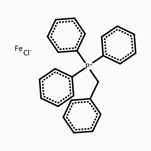 [Cl-].[Fe].c1ccc(C[P+](c2ccccc2)(c2ccccc2)c2ccccc2)cc1